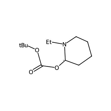 CCN1CCCC[C]1OC(=O)OC(C)(C)C